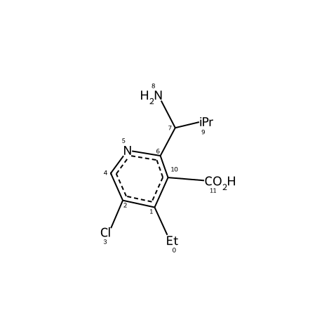 CCc1c(Cl)cnc(C(N)C(C)C)c1C(=O)O